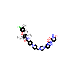 CC1(C)[C@H](NC(=O)c2ccc(N3CCC(CN4CCN(c5ccc6nn(C7CCC(=O)NC7=O)c(=O)n6c5)CC4)CC3)cc2)C(C)(C)[C@H]1Oc1ccc(C#N)c(Cl)c1